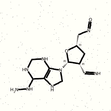 N=C[C@H]1C[C@@H](CN=O)O[C@H]1N1CNC2=C1NCNC2NN